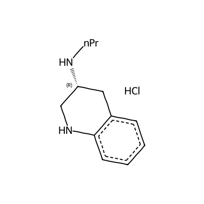 CCCN[C@H]1CNc2ccccc2C1.Cl